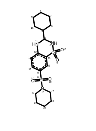 O=S1(=O)NC(C2CCCCC2)Nc2ccc(S(=O)(=O)N3CCCCC3)cc21